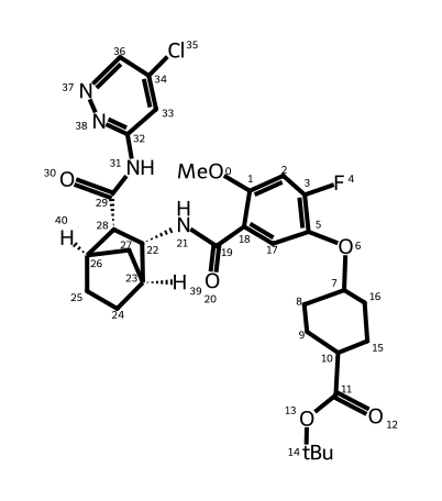 COc1cc(F)c(OC2CCC(C(=O)OC(C)(C)C)CC2)cc1C(=O)N[C@@H]1[C@H]2CC[C@H](C2)[C@@H]1C(=O)Nc1cc(Cl)cnn1